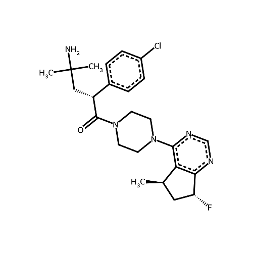 C[C@@H]1C[C@@H](F)c2ncnc(N3CCN(C(=O)[C@H](CC(C)(C)N)c4ccc(Cl)cc4)CC3)c21